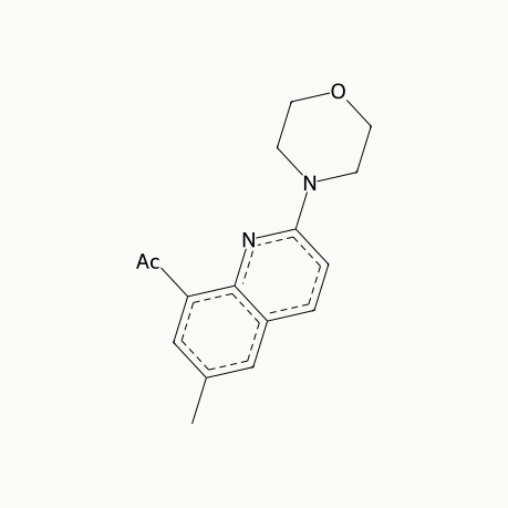 CC(=O)c1cc(C)cc2ccc(N3CCOCC3)nc12